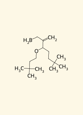 BCC(=C)C(CCC(C)(C)C)OCCC(C)(C)C